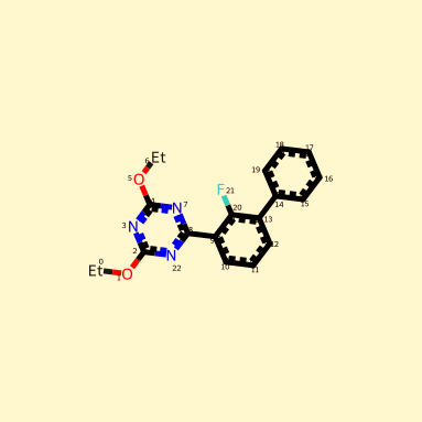 CCOc1nc(OCC)nc(-c2cccc(-c3ccccc3)c2F)n1